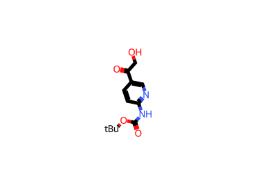 CC(C)(C)OC(=O)Nc1ccc(C(=O)CO)cn1